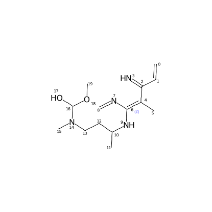 C=CC(=N)/C(C)=C(\N=C)NC(C)CCN(C)C(O)OC